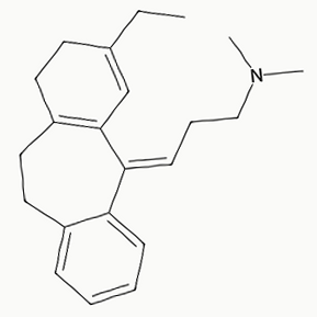 CCC1=CC2=C(CC1)CCc1ccccc1/C2=C/CCN(C)C